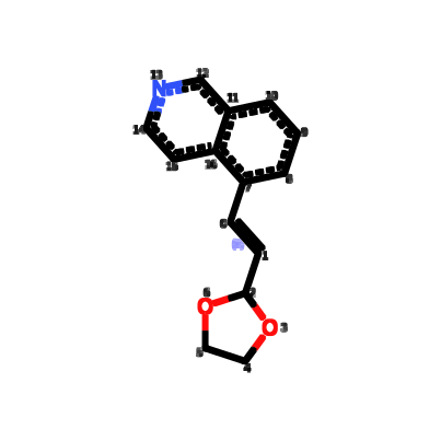 C(=C\C1OCCO1)/c1cccc2cnccc12